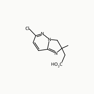 CC1(CC(=O)O)CN2N=C(Cl)C=CC2=N1